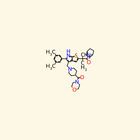 Cc1cc(C)cc(-c2[nH]c3sc(C(C)(C)C(=O)N4C5CCC4CC5)cc3c2CN2CCC(C(=O)N3CCOCC3)CC2)c1